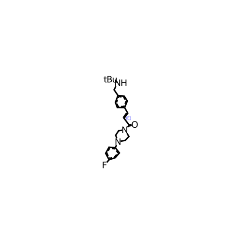 CC(C)(C)NCc1ccc(/C=C/C(=O)N2CCN(c3ccc(F)cc3)CC2)cc1